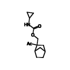 CC(=O)C1(COC(=O)NC2CC2)CC2CCC1C2